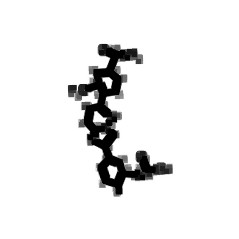 Cc1ccc(-c2cn3nc(-c4ccc(C(N)=O)cc4C(F)(F)F)ccc3n2)cc1NC(=O)C(C)(C)C